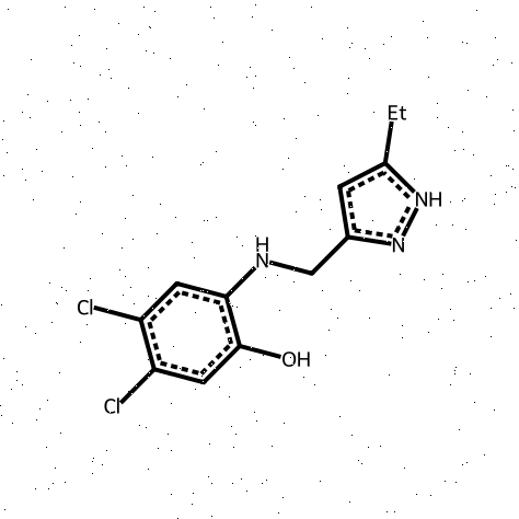 CCc1cc(CNc2cc(Cl)c(Cl)cc2O)n[nH]1